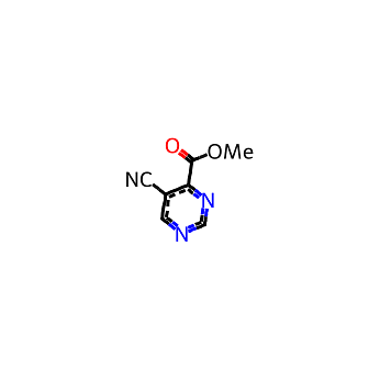 COC(=O)c1ncncc1C#N